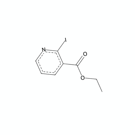 CCOC(=O)c1cccnc1I